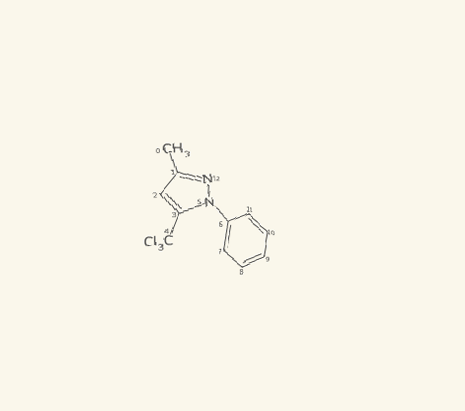 Cc1cc(C(Cl)(Cl)Cl)n(-c2ccccc2)n1